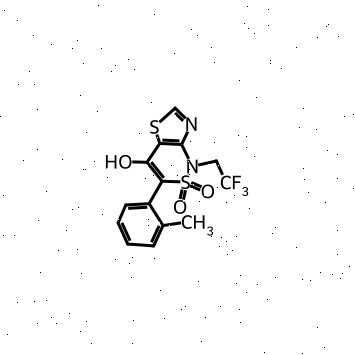 Cc1ccccc1C1=C(O)c2scnc2N(CC(F)(F)F)S1(=O)=O